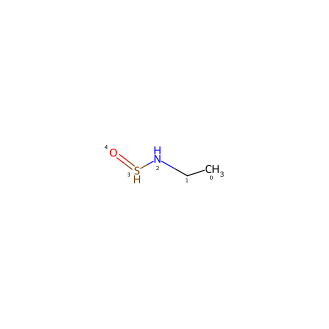 CCN[SH]=O